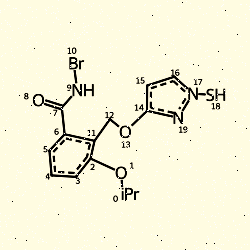 CC(C)Oc1cccc(C(=O)NBr)c1COc1ccn(S)n1